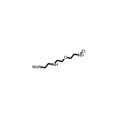 CCNCCOCCNCCNC